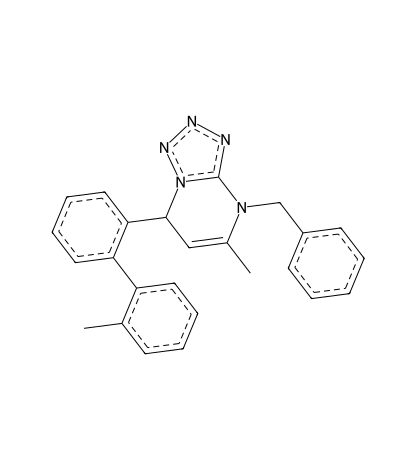 CC1=CC(c2ccccc2-c2ccccc2C)n2nnnc2N1Cc1ccccc1